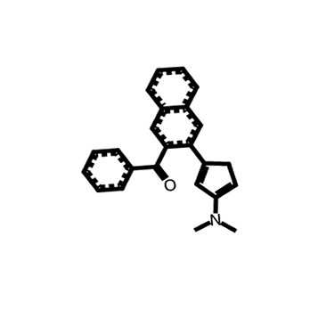 CN(C)C1=CCC(c2cc3ccccc3cc2C(=O)c2ccccc2)=C1